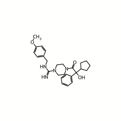 COc1ccc(CNC(=N)N2CCN(C(=O)C(O)(c3ccccc3)C3CCCC3)CC2)cc1